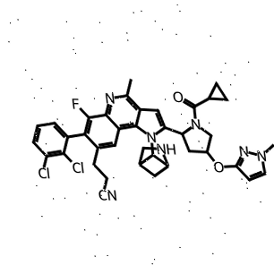 Cc1nc2c(F)c(-c3cccc(Cl)c3Cl)c(CCC#N)cc2c2c1cc(C1CC(Oc3ccn(C)n3)CN1C(=O)C1CC1)n2C1C2CNC1C2